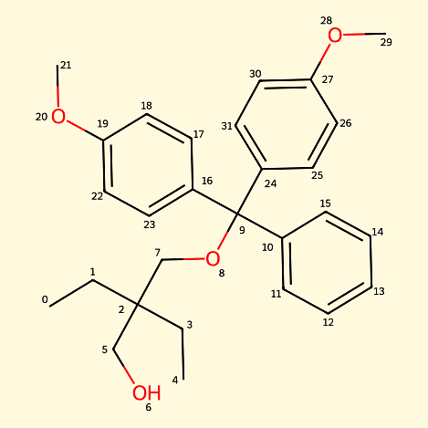 CCC(CC)(CO)COC(c1ccccc1)(c1ccc(OC)cc1)c1ccc(OC)cc1